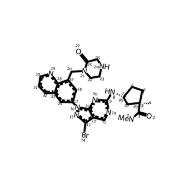 CNC(=O)[C@]1(C)CC[C@@H](Nc2ncc3c(Br)nn(-c4cc(CN5CCNCC5=O)c5ncccc5c4)c3n2)C1